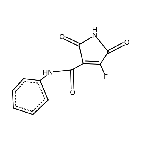 O=C1NC(=O)C(C(=O)Nc2ccccc2)=C1F